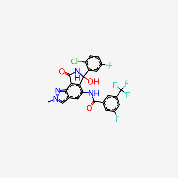 Cn1cc2cc(NC(=O)c3cc(F)cc(C(F)(F)F)c3)c3c(c2n1)C(=O)NC3(O)c1cc(F)ccc1Cl